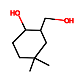 CC1(C)CCC(O)C(CO)C1